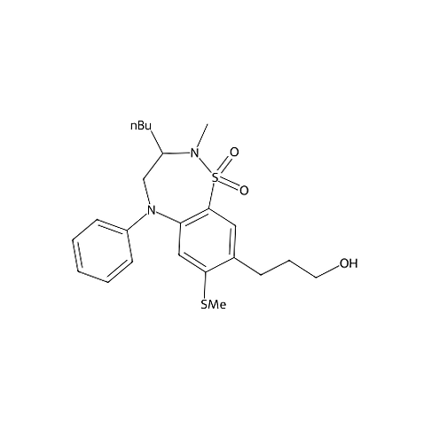 CCCCC1CN(c2ccccc2)c2cc(SC)c(CCCO)cc2S(=O)(=O)N1C